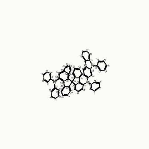 c1ccc(N(c2ccc3c4ccccc4n(-c4ccccc4)c3c2)c2cccc3c2-c2ccccc2C32c3ccccc3-c3c(N(c4ccccc4)c4ccccc4)cc4ccccc4c32)cc1